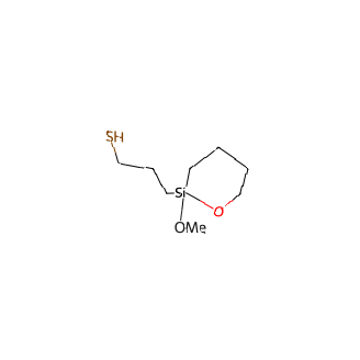 CO[Si]1(CCCS)CCCCO1